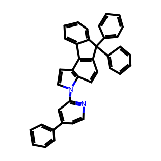 c1ccc(-c2ccnc(-n3ccc4c5c(ccc43)C(c3ccccc3)(c3ccccc3)c3ccccc3-5)c2)cc1